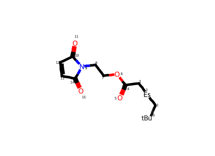 CC(C)(C)[CH2][Es][CH2]C(=O)OCCN1C(=O)C=CC1=O